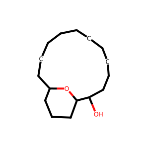 OC1CCCCCCCCCCC2CCCC1O2